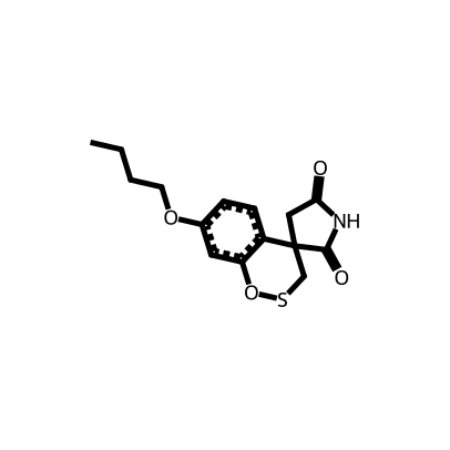 CCCCOc1ccc2c(c1)OSCC21CC(=O)NC1=O